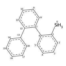 [SiH3]c1ccccc1-c1ccccc1-c1ccccc1